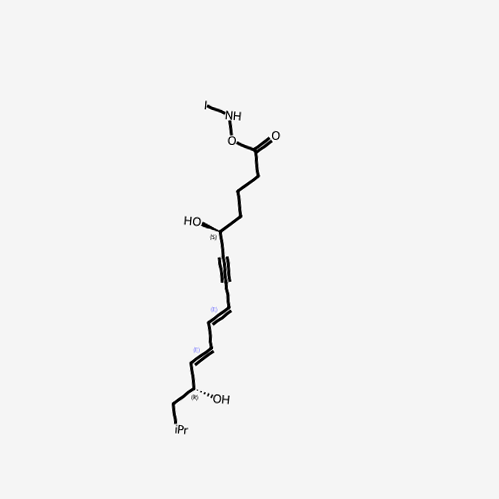 CC(C)C[C@@H](O)/C=C/C=C/C#C[C@@H](O)CCCC(=O)ONI